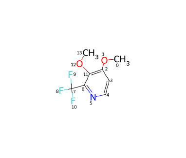 COc1ccnc(C(F)(F)F)c1OC